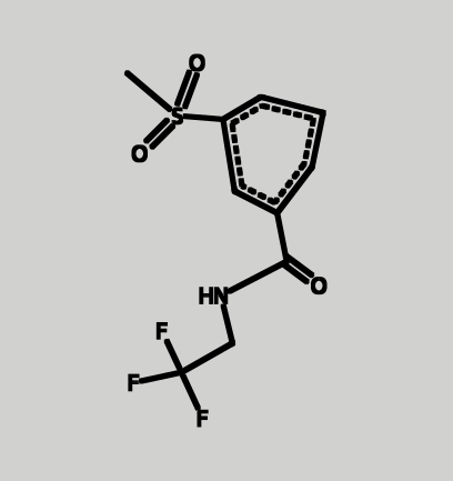 CS(=O)(=O)c1cccc(C(=O)NCC(F)(F)F)c1